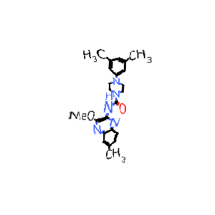 COc1nc2cc(C)ccc2nc1NC(=O)N1CCN(c2cc(C)cc(C)c2)CC1